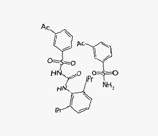 CC(=O)c1cccc(S(=O)(=O)NC(=O)Nc2c(C(C)C)cccc2C(C)C)c1.CC(=O)c1cccc(S(N)(=O)=O)c1